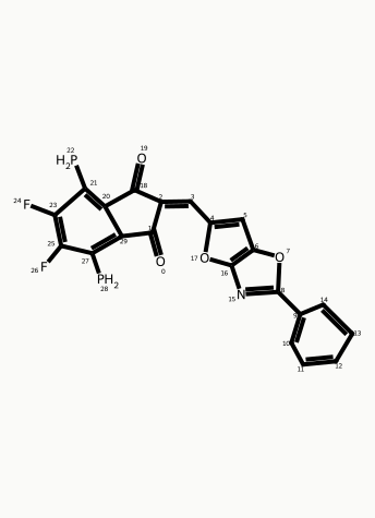 O=C1C(=Cc2cc3oc(-c4ccccc4)nc3o2)C(=O)c2c(P)c(F)c(F)c(P)c21